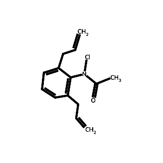 C=CCc1cccc(CC=C)c1N(Cl)C(C)=O